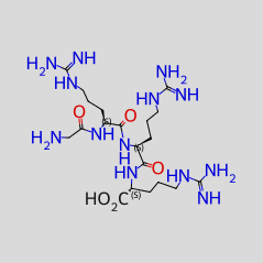 N=C(N)NCCC[C@H](NC(=O)[C@H](CCCNC(=N)N)NC(=O)[C@H](CCCNC(=N)N)NC(=O)CN)C(=O)O